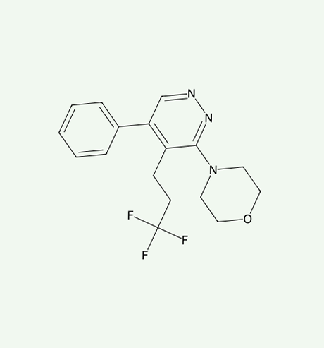 FC(F)(F)CCc1c(-c2ccccc2)cnnc1N1CCOCC1